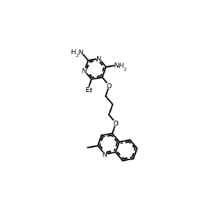 CCc1nc(N)nc(N)c1OCCCOc1cc(C)nc2ccccc12